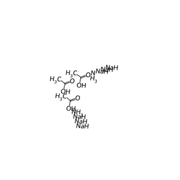 CC(=O)O.CC(=O)O.CC(=O)O.N.N.[NaH].[NaH].[NaH].[NaH].[NaH].[NaH]